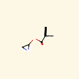 C=C(CC)C(=O)OC1CN1